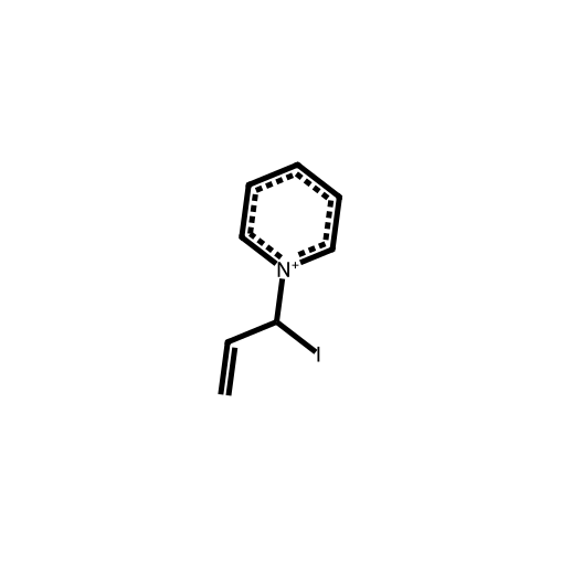 C=CC(I)[n+]1ccccc1